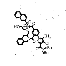 CCCCN(CCCC)C(=O)c1nn(-c2ccc(C(=O)NS(=O)(=O)c3ccc4ccccc4c3)cc2C(=O)N2Cc3ccccc3CC2COCCO)c(C)c1Cl